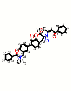 CC(=CC(=O)c1ccccc1)NC(Cc1ccc(-c2cccc(CN(C)C(=O)c3ccccc3)c2)cc1)C(=O)O